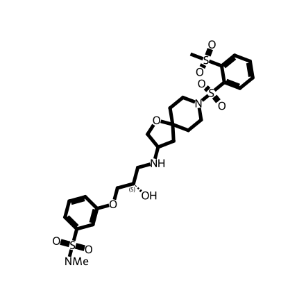 CNS(=O)(=O)c1cccc(OC[C@@H](O)CNC2COC3(CCN(S(=O)(=O)c4ccccc4S(C)(=O)=O)CC3)C2)c1